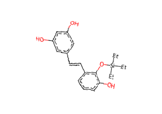 CC[Si](CC)(CC)Oc1c(O)cccc1C=Cc1cc(O)cc(O)c1